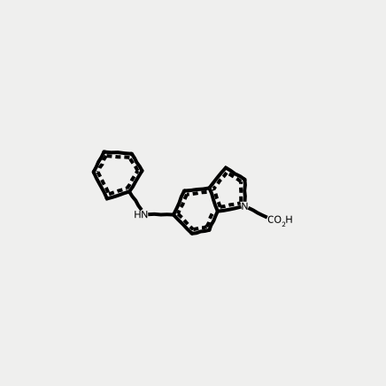 O=C(O)n1ccc2cc(Nc3ccccc3)ccc21